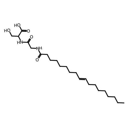 CCCCCCCCC=CCCCCCCCC(=O)NCC(=O)NC(CO)C(=O)O